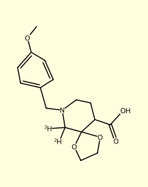 [2H]C1([2H])N(Cc2ccc(OC)cc2)CCC(C(=O)O)C12OCCO2